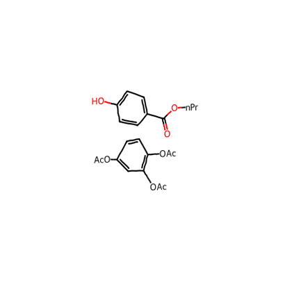 CC(=O)Oc1ccc(OC(C)=O)c(OC(C)=O)c1.CCCOC(=O)c1ccc(O)cc1